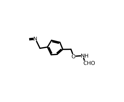 C=NCc1ccc(CONC=O)cc1